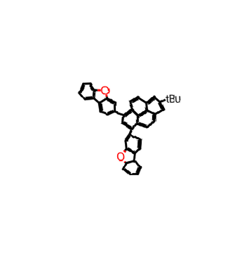 CC(C)(C)c1cc2ccc3c(-c4ccc5c(c4)OC4C=CC=CC54)cc(-c4ccc5c(c4)oc4ccccc45)c4ccc(c1)c2c34